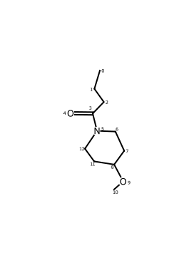 CCCC(=O)N1CCC(OC)CC1